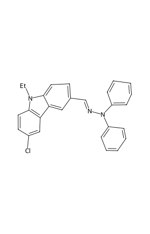 CCn1c2ccc(Cl)cc2c2cc(C=NN(c3ccccc3)c3ccccc3)ccc21